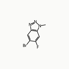 Cn1nnc2cc(Br)c(F)cc21